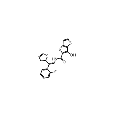 O=C(NC=C(c1cccs1)c1ccccc1F)c1sc2ccsc2c1O